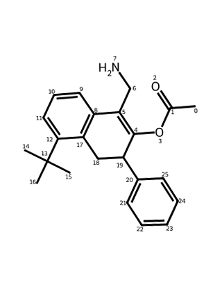 CC(=O)OC1=C(CN)c2cccc(C(C)(C)C)c2CC1c1ccccc1